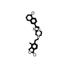 Cc1c(CCN2CCn3cc(-c4ccc5c(c4)CCCC5=O)nc3C2)ccc2c1COC2=O